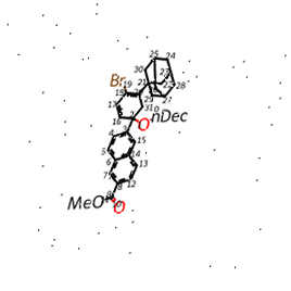 CCCCCCCCCCOC1(c2ccc3cc(C(=O)OC)ccc3c2)C=CC(Br)=C(C23CC4CC(CC(C4)C2)C3)C1